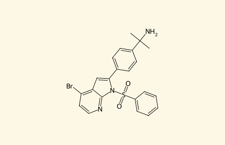 CC(C)(N)c1ccc(-c2cc3c(Br)ccnc3n2S(=O)(=O)c2ccccc2)cc1